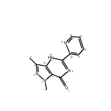 Cc1nn(C)c2c(=O)nc(-c3ccccn3)[nH]c12